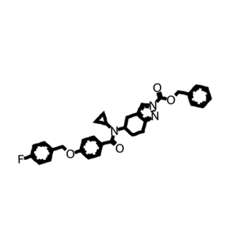 O=C(c1ccc(OCc2ccc(F)cc2)cc1)N(C1CC1)C1CCc2nn(C(=O)OCc3ccccc3)cc2C1